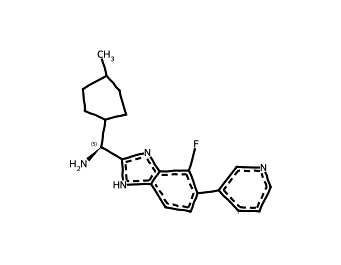 CC1CCC([C@H](N)c2nc3c(F)c(-c4[c]ccnc4)ccc3[nH]2)CC1